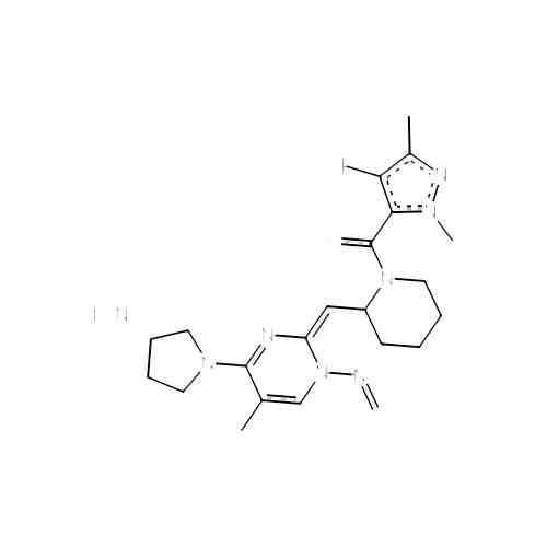 C=NN1C=C(C)C(N2CC[C@H](N)C2)=N/C1=C/C1CCCCN1C(=O)c1c(Cl)c(C)nn1C